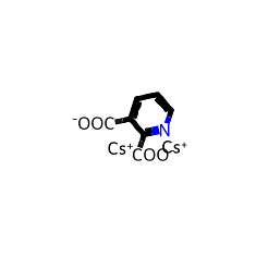 O=C([O-])c1cccnc1C(=O)[O-].[Cs+].[Cs+]